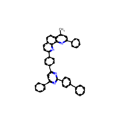 Cc1cc(-c2ccccc2)nc2c1ccc1ccc(-c3ccc(-c4cc(-c5ccccc5)nc(-c5ccc(-c6ccccc6)cc5)n4)cc3)nc12